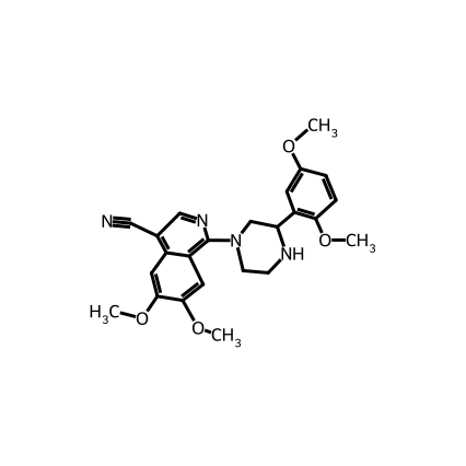 COc1ccc(OC)c(C2CN(c3ncc(C#N)c4cc(OC)c(OC)cc34)CCN2)c1